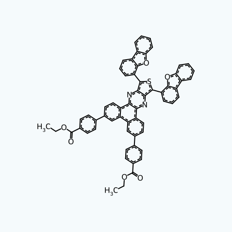 CCOC(=O)c1ccc(-c2ccc3c(c2)c2cc(-c4ccc(C(=O)OCC)cc4)ccc2c2nc4c(-c5cccc6c5oc5ccccc56)sc(-c5cccc6c5oc5ccccc56)c4nc32)cc1